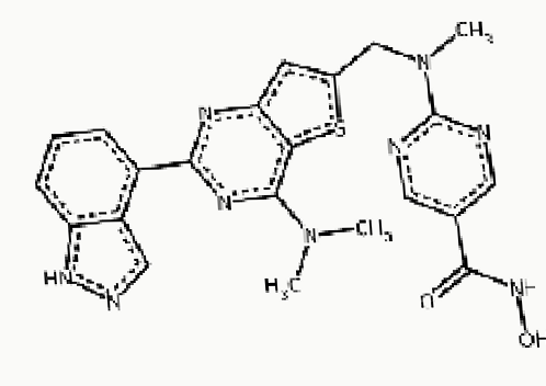 CN(C)c1nc(-c2cccc3[nH]ncc23)nc2cc(CN(C)c3ncc(C(=O)NO)cn3)sc12